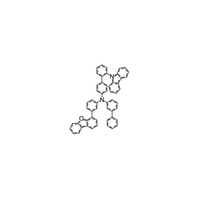 c1ccc(-c2cccc(N(c3ccc(-c4ccccc4-n4c5ccccc5c5ccccc54)cc3)c3cccc(-c4cccc5c4oc4ccccc45)c3)c2)cc1